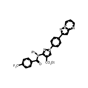 CCOC(=O)c1cn(-c2ccc(-c3cc4ncccn4n3)cc2)nc1N(C(=O)c1ccc(C(F)(F)F)cc1)C(C)C